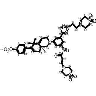 CC1(C)C(c2ccc(C(=O)O)cc2)=CC[C@]2(C)CN(c3cc(NC(=O)CCN4CCS(=O)(=O)CC4)cc(-c4nnn(CCN5CCS(=O)(=O)CC5)n4)c3)CC=C12